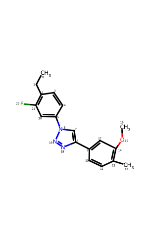 CCc1ccc(-n2cc(-c3ccc(C)c(OC)c3)nn2)cc1F